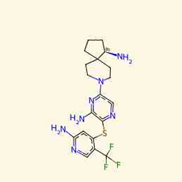 Nc1cc(Sc2ncc(N3CCC4(CCC[C@H]4N)CC3)nc2N)c(C(F)(F)F)cn1